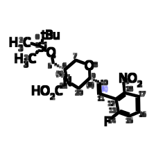 CC(C)(C)[Si](C)(C)OC[C@@H]1CO[C@H](/C=C/c2c(F)cccc2[N+](=O)[O-])CN1C(=O)O